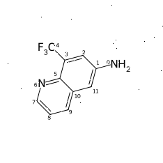 Nc1cc(C(F)(F)F)c2ncccc2c1